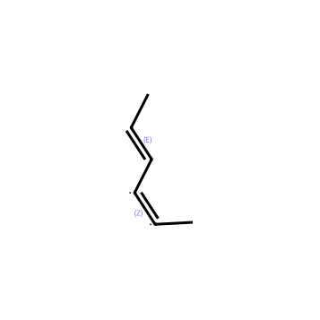 C/[C]=[C]\C=C\C